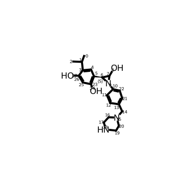 CC(C)c1cc([C@H]2C(O)N2c2ccc(CN3CCNCC3)cc2)c(O)cc1O